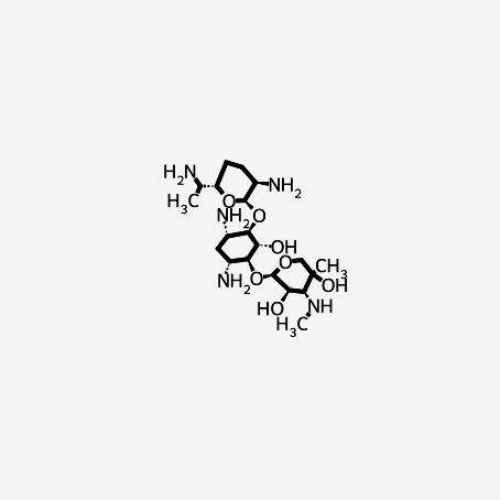 CN[C@@H]1[C@@H](O)[C@@H](O[C@@H]2[C@@H](O)[C@H](O[C@H]3O[C@H](C(C)N)CC[C@H]3N)[C@@H](N)C[C@H]2N)OC[C@]1(C)O